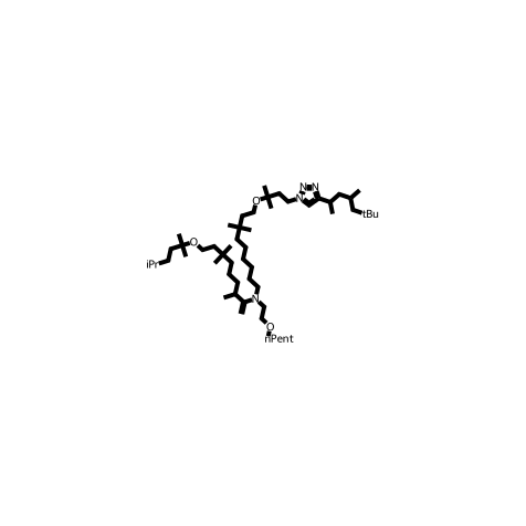 C=C(C(C)CCCC(C)(C)CCOC(C)(C)CCC(C)C)N(CCCCCCC(C)(C)CCOC(C)(C)CCn1cc(C(C)CC(C)CC(C)(C)C)nn1)CCOCCCCC